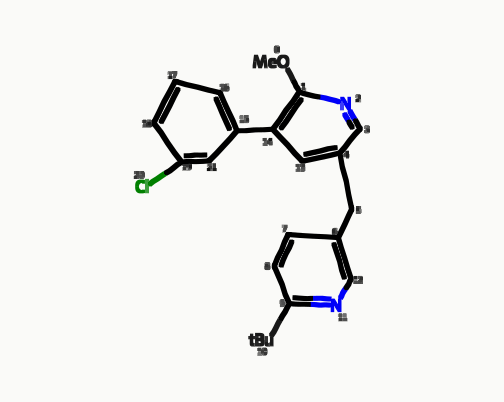 COc1ncc(Cc2ccc(C(C)(C)C)nc2)cc1-c1cccc(Cl)c1